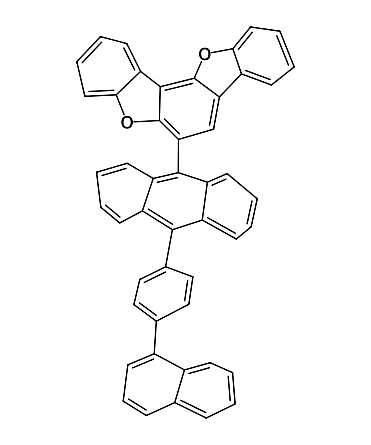 c1ccc2c(-c3ccc(-c4c5ccccc5c(-c5cc6c7ccccc7oc6c6c5oc5ccccc56)c5ccccc45)cc3)cccc2c1